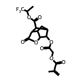 C=C(C)C(=O)OCC(=O)OC1C2CC3C1OC(=O)C3C2C(=O)OC(C)C(F)(F)F